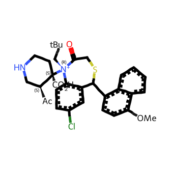 COc1ccc(C2SCC(=O)[N@@+](CC(C)(C)C)([C@@]3(C(=O)O)CCNC[C@@H]3C(C)=O)c3ccc(Cl)cc32)c2ccccc12